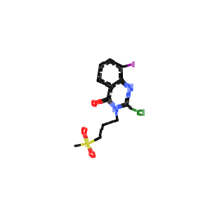 CS(=O)(=O)CCCn1c(Cl)nc2c(I)cccc2c1=O